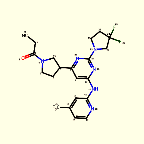 N#CCC(=O)N1CCC(c2cc(Nc3cc(C(F)(F)F)ccn3)nc(N3CCC(F)(F)C3)n2)C1